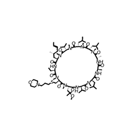 C/C=C/C[C@@H](C)C[C@@H]1C(=O)N[C@H](CC)C(=O)N(C)[C@H](CSCCCN2CCOCC2)C(=O)N(C)[C@@H](CC(C)(C)OC)C(=O)N[C@H](C(C)C)C(=O)N(C)[C@H](CC(C)C)C(=O)N[C@H](C)C(=O)N[C@@H](C)C(=O)N(C)[C@@H](CC(C)C)C(=O)N(C)[C@@H](CC(C)C)C(=O)N(C)[C@@H](C(C)C)C(=O)N1C